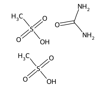 CS(=O)(=O)O.CS(=O)(=O)O.NC(N)=O